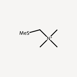 CSC[N+](C)(C)C